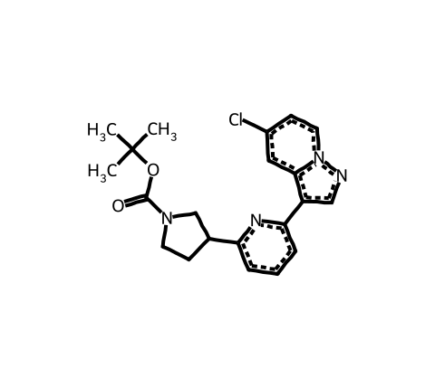 CC(C)(C)OC(=O)N1CCC(c2cccc(-c3cnn4ccc(Cl)cc34)n2)C1